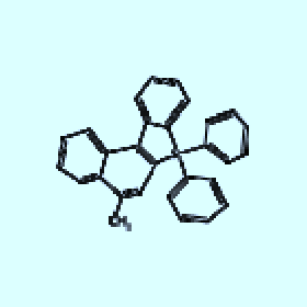 Cc1cc2c(c3ccccc13)-c1ccccc1[Si]2(c1ccccc1)c1ccccc1